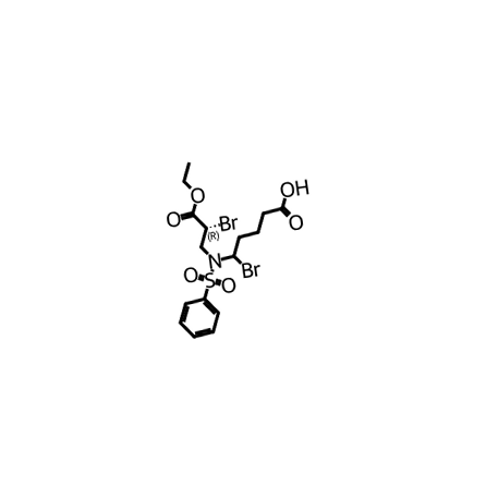 CCOC(=O)[C@H](Br)CN(C(Br)CCCC(=O)O)S(=O)(=O)c1ccccc1